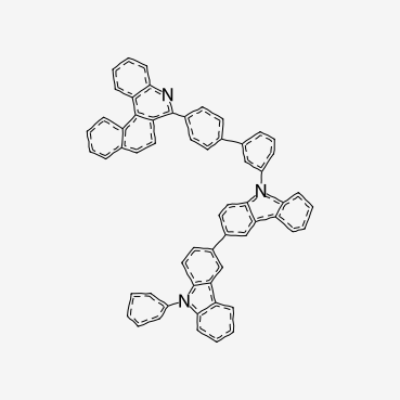 c1ccc(-n2c3ccccc3c3cc(-c4ccc5c(c4)c4ccccc4n5-c4cccc(-c5ccc(-c6nc7ccccc7c7c6ccc6ccccc67)cc5)c4)ccc32)cc1